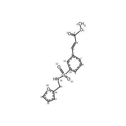 COC(=O)/C=C/c1cccc(S(=O)(=O)NCc2ccco2)c1